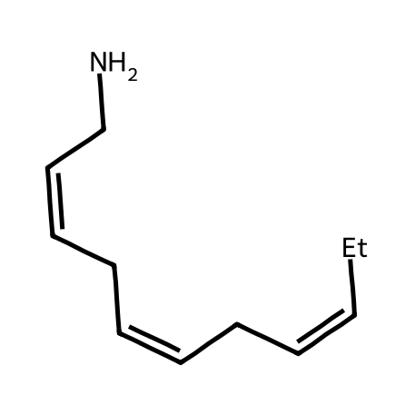 CC/C=C\C/C=C\C/C=C\CN